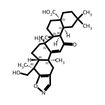 CC1(C)CC[C@]2(C(=O)O)CC[C@]3(C)[C@H](C(=O)C=C4[C@@]5(C)Cc6cnoc6[C@@](C)(CO)[C@@H]5CC[C@]43C)[C@@H]2C1